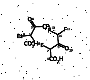 CCC(C(=O)O)C(=O)C(F)(F)F.O=C(O)C(F)C(=O)C(F)F